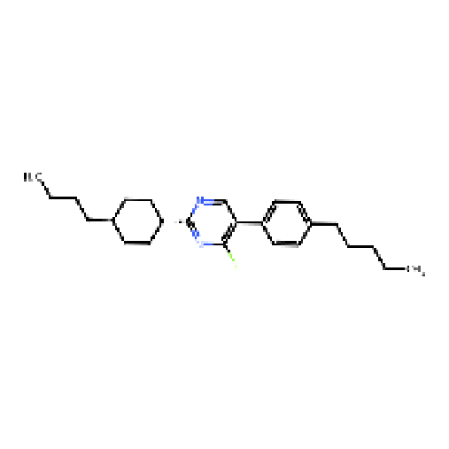 CCCCCc1ccc(-c2cnc([C@H]3CC[C@H](CCCC)CC3)nc2F)cc1